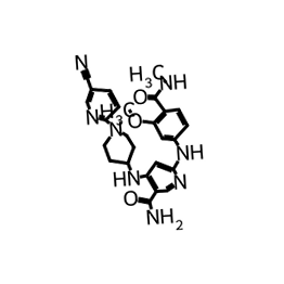 CNC(=O)c1ccc(Nc2cc(NC3CCN(c4ccc(C#N)cn4)CC3)c(C(N)=O)cn2)cc1OC